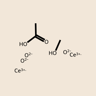 CC(=O)O.CO.[Ce+3].[Ce+3].[O-2].[O-2].[O-2]